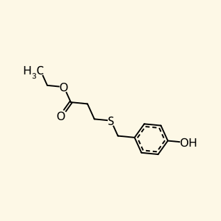 CCOC(=O)CCSCc1ccc(O)cc1